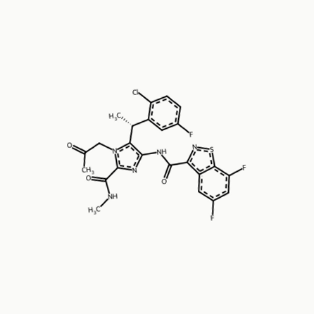 CNC(=O)c1nc(NC(=O)c2nsc3c(F)cc(F)cc23)c([C@H](C)c2cc(F)ccc2Cl)n1CC(C)=O